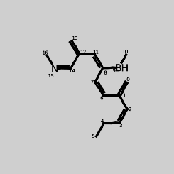 C=C(/C=C\CC)/C=C\C(BC)=C/C(=C)/C=N\C